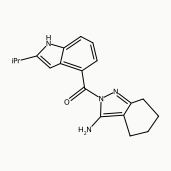 CC(C)c1cc2c(C(=O)n3nc4c(c3N)CCCC4)cccc2[nH]1